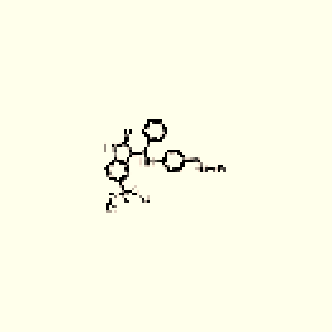 CCCNCc1ccc(NC(=C2C(=O)Nc3ccc(P(=O)(OCC)OCC)cc32)c2ccccc2)cc1